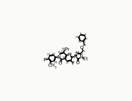 CCn1c(COCc2ccccc2)nn(-c2nc3c(C(C)C)cn(-c4ccc(F)c(C)c4)c(=O)c3cc2F)c1=O